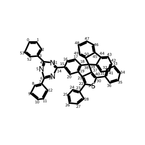 c1ccc(-c2nc(-c3ccccc3)nc(-c3ccc4c(c3)-c3c(-c5ccccc5)sc(-c5ccccc5)c3C43c4ccccc4-c4ccccc43)n2)cc1